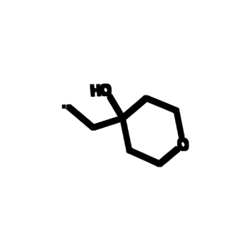 [CH2]CC1(O)CCOCC1